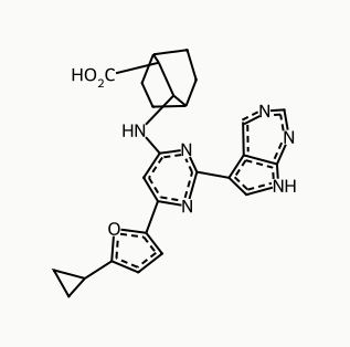 O=C(O)C1C2CCC(CC2)C1Nc1cc(-c2ccc(C3CC3)o2)nc(-c2c[nH]c3ncncc23)n1